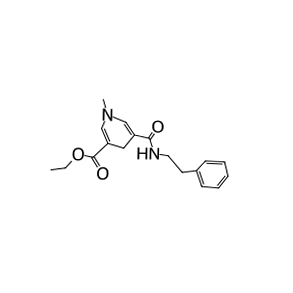 CCOC(=O)C1=CN(C)C=C(C(=O)NCCc2ccccc2)C1